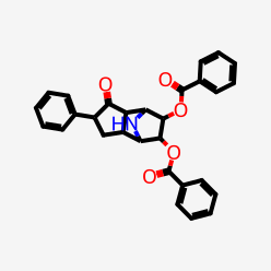 O=C(OC1C2NC(C1OC(=O)c1ccccc1)C1C(=O)C(c3ccccc3)CC21)c1ccccc1